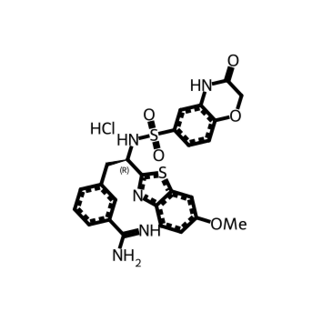 COc1ccc2nc([C@@H](Cc3cccc(C(=N)N)c3)NS(=O)(=O)c3ccc4c(c3)NC(=O)CO4)sc2c1.Cl